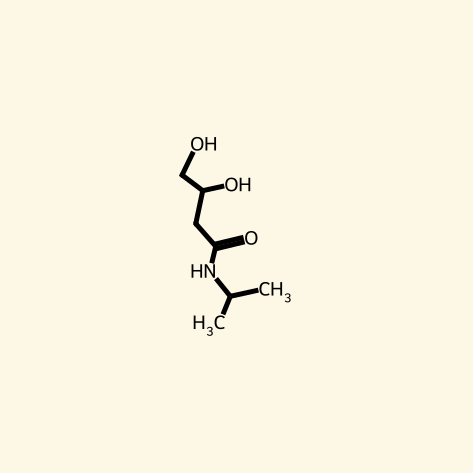 CC(C)NC(=O)CC(O)CO